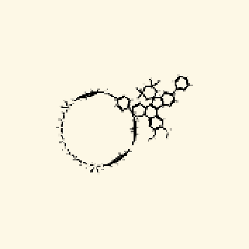 COc1cc2c3c(c4c(c2cc1OC)-c1ccc(-c2ccccc2)cc1C41CC(C)(C)CC(C)(C)C1)C=CC1(O3)c2ccc(cc2)Oc2ccc(cc2)O[Si](C)(C)CCCCCCCCCC[Si](C)(C)Oc2ccc(cc2)Oc2ccc1cc2